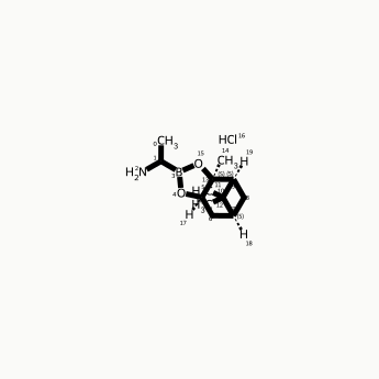 CC(N)B1O[C@@H]2C[C@@H]3C[C@@H](C3(C)C)[C@]2(C)O1.Cl